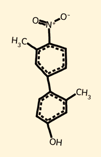 Cc1cc(O)ccc1-c1ccc([N+](=O)[O-])c(C)c1